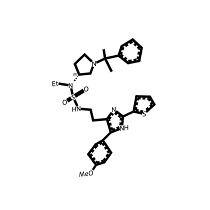 CCN([C@@H]1CCN(C(C)(C)c2ccccc2)C1)S(=O)(=O)NCCc1nc(-c2cccs2)[nH]c1-c1ccc(OC)cc1